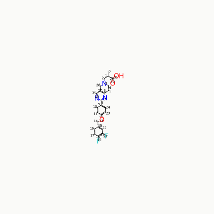 CC(CN1CCc2nc(-c3ccc(OCc4ccc(F)c(F)c4)cc3)ncc2C1)C(=O)O